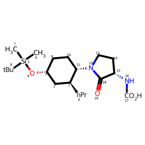 CCC[C@H]1C[C@H](O[Si](C)(C)C(C)(C)C)CC[C@@H]1N1CC[C@H](NC(=O)O)C1=O